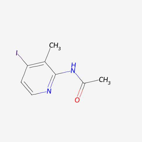 CC(=O)Nc1nccc(I)c1C